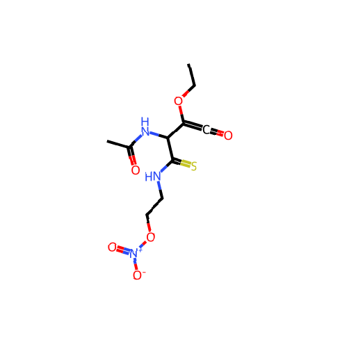 CCOC(=C=O)C(NC(C)=O)C(=S)NCCO[N+](=O)[O-]